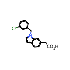 O=C(O)Cc1ccc2ccn(Cc3cccc(Cl)c3)c2c1